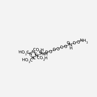 NCCOCCOCCNC(=O)CCOCCOCCOCCOCCOCCOCCNC(=O)CCC(C(=O)O)N1CCN(CC(=O)O)CCN(CC(=O)O)CCN(CC(=O)O)CC1